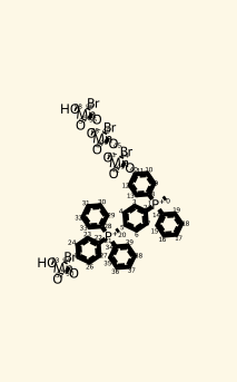 C[P+](c1ccccc1)(c1ccccc1)c1ccccc1.C[P+](c1ccccc1)(c1ccccc1)c1ccccc1.[O]=[Mn](=[O])([O-])[Br].[O]=[Mn](=[O])([O-])[Br].[O]=[Mn](=[O])([OH])[Br].[O]=[Mn](=[O])([OH])[Br]